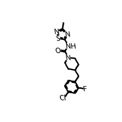 Cc1nsc(NC(=O)N2CCC(Cc3ccc(Cl)cc3F)CC2)n1